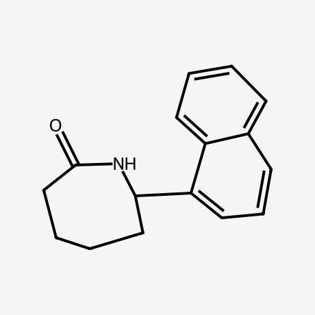 O=C1CCCCC(c2cccc3ccccc23)N1